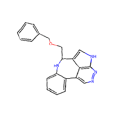 c1ccc(COCC2Nc3ccccc3-c3cnnc4[nH]cc2c34)cc1